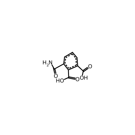 NC(=O)c1cccc(C(=O)O)c1C(=O)O